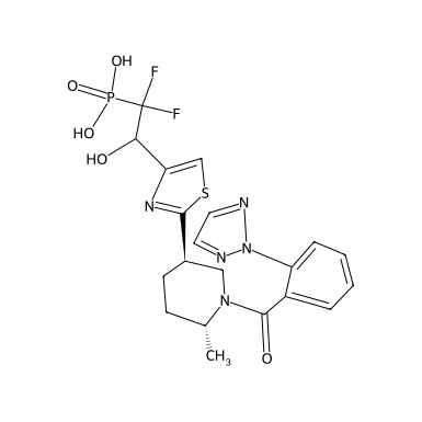 C[C@@H]1CC[C@@H](c2nc(C(O)C(F)(F)P(=O)(O)O)cs2)CN1C(=O)c1ccccc1-n1nccn1